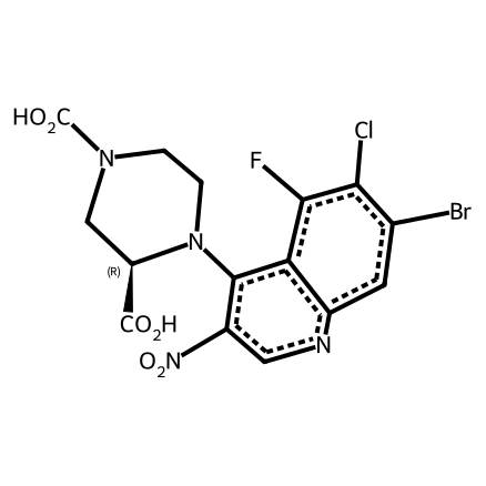 O=C(O)[C@H]1CN(C(=O)O)CCN1c1c([N+](=O)[O-])cnc2cc(Br)c(Cl)c(F)c12